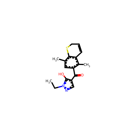 CCn1ncc(C(=O)c2cc(C)c3c(c2C)C=CCS3)c1O